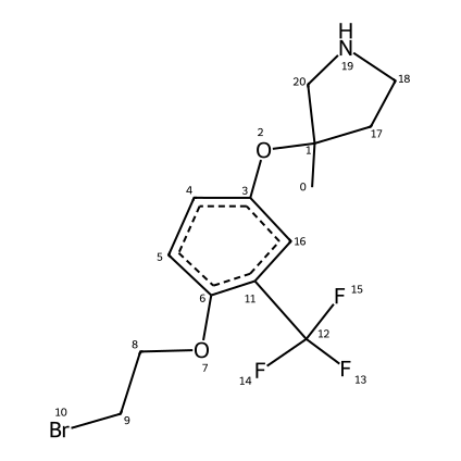 CC1(Oc2ccc(OCCBr)c(C(F)(F)F)c2)CCNC1